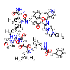 CC(C)Cc1nc(CC(C)CCNC(=O)OCc2ccccc2)oc1C(=O)CNC(=O)C(CC(C)C)NC(=O)N1CCOCC1.CC(CC(N)=O)CC(=O)NCCC(C(=O)c1oc(-c2ccncc2)nc1CN1CCN(C)CC1)c1ccccc1